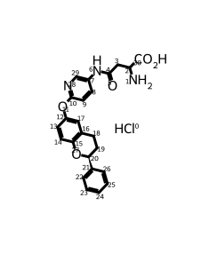 Cl.NC(CC(=O)Nc1ccc(Oc2ccc3c(c2)CC[C@@H](c2ccccc2)O3)nc1)C(=O)O